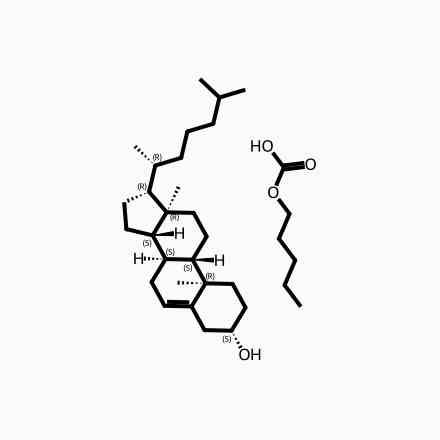 CC(C)CCC[C@@H](C)[C@H]1CC[C@H]2[C@@H]3CC=C4C[C@@H](O)CC[C@]4(C)[C@H]3CC[C@]12C.CCCCCOC(=O)O